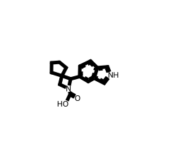 O=C(O)N1CC2(CCCC2)C1c1ccc2c[nH]cc2c1